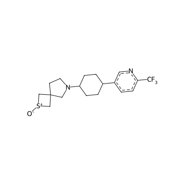 [O-][S+]1CC2(CCN(C3CCC(c4ccc(C(F)(F)F)nc4)CC3)C2)C1